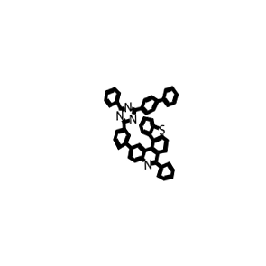 c1ccc(-c2ccc(-c3nc(-c4ccccc4)nc(-c4cccc(-c5ccc6nc(-c7ccccc7)c7ccc8sc9ccccc9c8c7c6c5)c4)n3)cc2)cc1